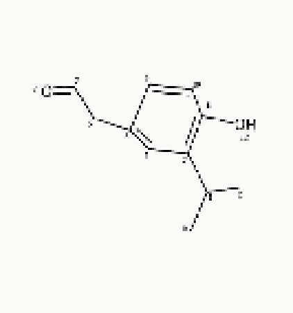 CC(C)c1cc(CC=O)ccc1O